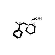 C[C@@H](CN1CCCC[C@H]1CO)c1ccccc1